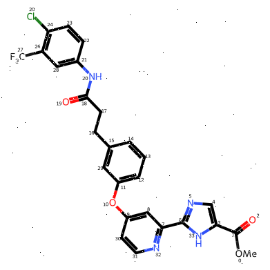 COC(=O)c1cnc(-c2cc(Oc3cccc(CCC(=O)Nc4ccc(Cl)c(C(F)(F)F)c4)c3)ccn2)[nH]1